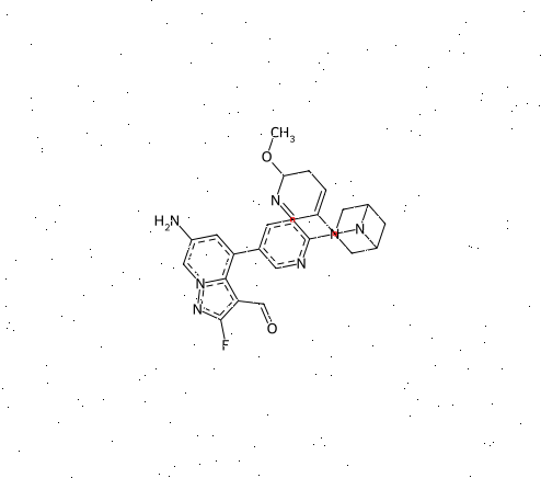 COC1CC=C(CN2C3CC2CN(c2ccc(-c4cc(N)cn5nc(F)c(C=O)c45)cn2)C3)C=N1